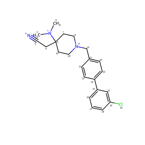 CN(C)C1(CC#N)CCN(Cc2ccc(-c3cccc(Cl)c3)cc2)CC1